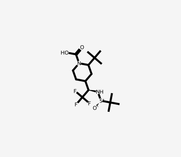 CC(C)(C)C1CC([C@@H](N[S@@+]([O-])C(C)(C)C)C(F)(F)F)CCN1C(=O)O